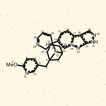 COc1ccc(CC23CNCC(C2)N3C2(c3ccc4c5cn[nH]c5nn4c3)C=CC=NC2)cn1